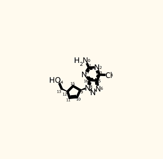 Nc1nc(Cl)c2nnn([C@H]3C=C[C@@H](CO)C3)c2n1